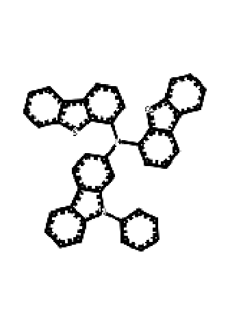 c1ccc(-n2c3ccccc3c3ccc(N(c4cccc5c4oc4ccccc45)c4cccc5c4sc4ccccc45)cc32)cc1